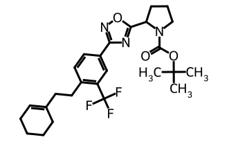 CC(C)(C)OC(=O)N1CCCC1c1nc(-c2ccc(CCC3=CCCCC3)c(C(F)(F)F)c2)no1